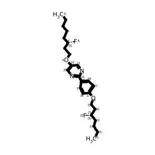 CCCCC[C@H](F)CCOc1cnc(-c2ccc(OCC[C@@H](F)CCCC)cc2)nc1